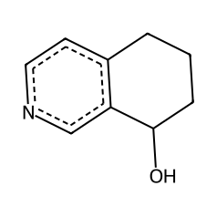 OC1CCCc2ccncc21